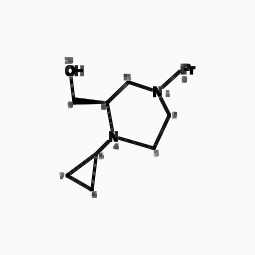 CC(C)N1CCN(C2CC2)[C@@H](CO)C1